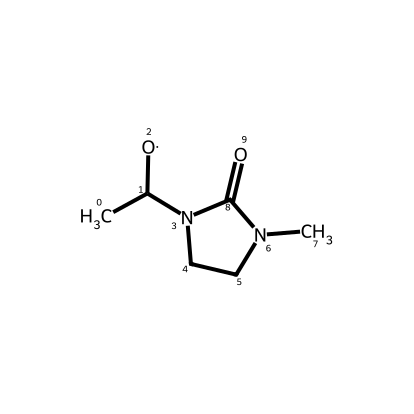 CC([O])N1CCN(C)C1=O